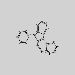 C(=C/c1nc2ccccc2n1-c1ccccc1)/c1ccccc1